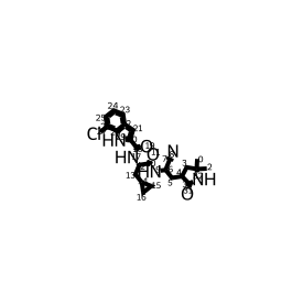 CC1(C)CC(CC(C#N)NC(=O)C(CC2CC2)NC(=O)c2cc3cccc(Cl)c3[nH]2)C(=O)N1